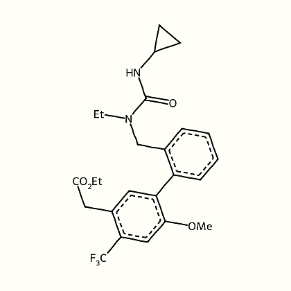 CCOC(=O)Cc1cc(-c2ccccc2CN(CC)C(=O)NC2CC2)c(OC)cc1C(F)(F)F